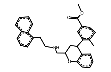 COC(=O)c1ccc(C)c(C2CC(CNCCc3cccc4ccccc34)Oc3ccccc32)c1